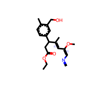 C=N/C=C(\C=C(/C)C(CC(=O)OCC)c1ccc(C)c(CO)c1)OC